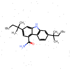 CC(C)(C)CC(C)(C)c1ccc2c(c1)[nH]c1cc(C(C)(C)CC(C)(C)C)cc(C(N)=O)c12